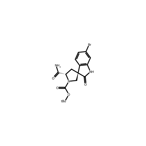 CC(C)(C)OC(=O)N1C[C@]2(C[C@H]1C(N)=O)C(=O)Nc1cc(Br)ccc12